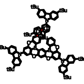 CC(C)(C)c1ccc2c(c1)B1c3cc4c(cc3Oc3cc(-n5c6ccc(C(C)(C)C)cc6c6cc(C(C)(C)C)ccc65)cc(c31)O2)Oc1cc(-n2c3ccc(C(C)(C)C)cc3c3cc(C(C)(C)C)ccc32)cc2c1B4c1cc3c(cc1O2)Oc1cc(-n2c4ccc(C(C)(C)C)cc4c4cc(C(C)(C)C)ccc42)cc2c1B3c1cc(C(C)(C)C)ccc1O2